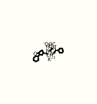 C[C@H](Nc1ncc(-c2ccccc2)n(CC(=O)[O-])c1=O)c1ccc2oc3ccccc3c2c1.[K+]